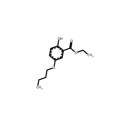 CCCCOc1ccc(O)c(C(=O)OCC)c1